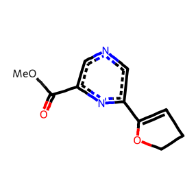 COC(=O)c1cncc(C2=CCCO2)n1